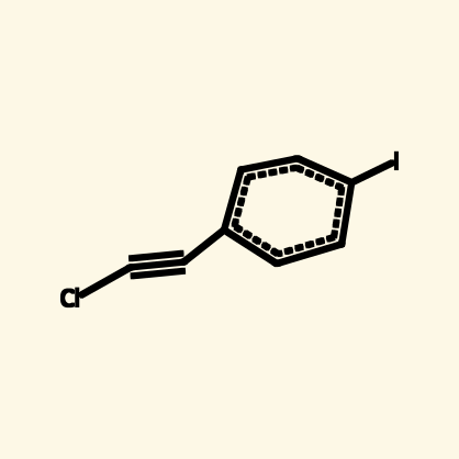 ClC#Cc1ccc(I)cc1